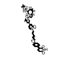 CC(C)(C)OC(=O)N[C@H]1C[C@@H]2C[C@@H]2C[C@H]2CC[C@@H](C(=O)N3C[C@@H](c4ccn(CCCCCOc5ccc(C6CCC(=O)NC6=O)cc5)c(=O)c4)CC34CC4)N2C1=O